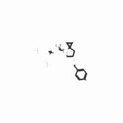 CC(C)(C)OC(=O)N1CC(OCc2ccc(F)cc2)CC12CC2